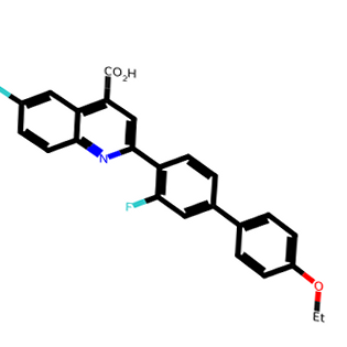 CCOc1ccc(-c2ccc(-c3cc(C(=O)O)c4cc(F)ccc4n3)c(F)c2)cc1